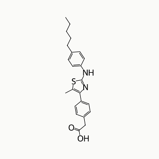 CCCCCc1ccc(Nc2nc(-c3ccc(CC(=O)O)cc3)c(C)s2)cc1